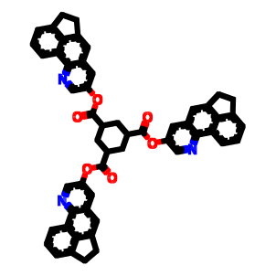 O=C(Oc1cnc2c(c1)cc1c3c(cccc32)CC1)C1CC(C(=O)Oc2cnc3c(c2)cc2c4c(cccc43)CC2)CC(C(=O)Oc2cnc3c(c2)cc2c4c(cccc43)CC2)C1